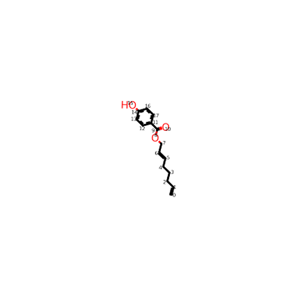 C=CCCCC=CCOC(=O)c1ccc(O)cc1